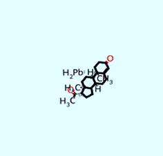 CC(=O)[C@H]1CCC2[C@H]3CCC4=CC(=O)CC[C@]4(C)[C@@H]3CC[C@@]21C.[PbH2]